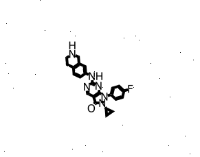 O=c1c2cnc(Nc3ccc4c(c3)CNCC4)nc2n(-c2ccc(F)cc2)n1C1CC1